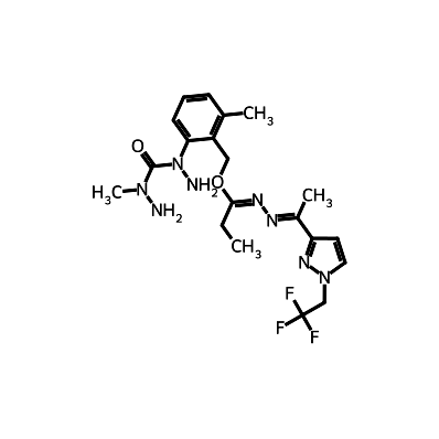 CCC(=N/N=C(\C)c1ccn(CC(F)(F)F)n1)OCc1c(C)cccc1N(N)C(=O)N(C)N